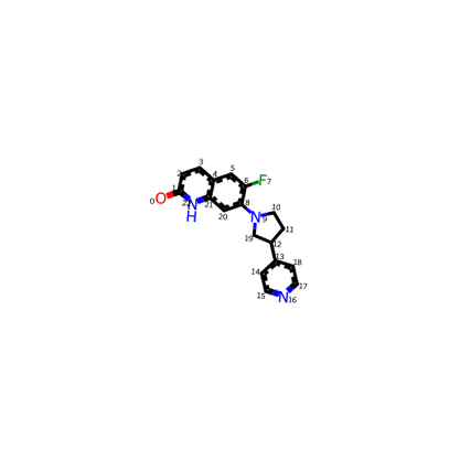 O=c1ccc2cc(F)c(N3CCC(c4ccncc4)C3)cc2[nH]1